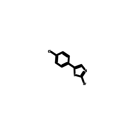 Clc1ccc(-c2cnc(Br)s2)cc1